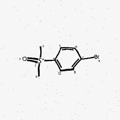 C[S+](C)(=O)c1ccc(Br)cc1